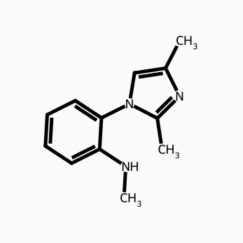 CNc1ccccc1-n1cc(C)nc1C